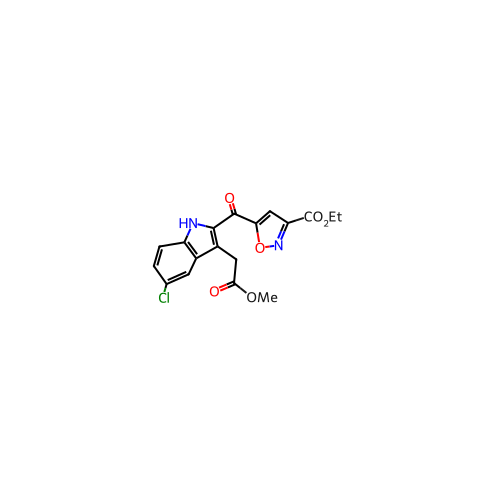 CCOC(=O)c1cc(C(=O)c2[nH]c3ccc(Cl)cc3c2CC(=O)OC)on1